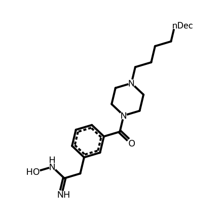 CCCCCCCCCCCCCCN1CCN(C(=O)c2cccc(CC(=N)NO)c2)CC1